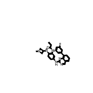 C=CC(=O)Nc1cc(Nc2ncc3cccc(-c4cccc(F)c4)c3n2)ccc1N(C)C1CN(C)C1